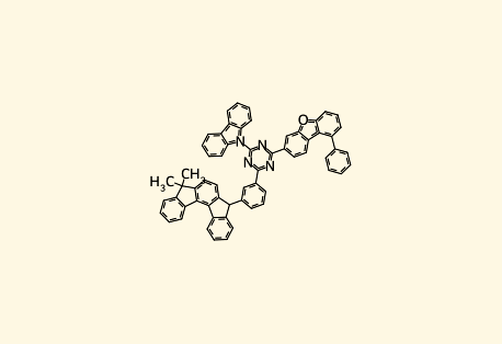 CC1(C)c2ccccc2-c2c1ccc1c2-c2ccccc2C1c1cccc(-c2nc(-c3ccc4c(c3)oc3cccc(-c5ccccc5)c34)nc(-n3c4ccccc4c4ccccc43)n2)c1